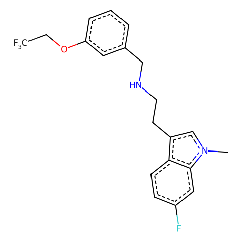 Cn1cc(CCNCc2cccc(OCC(F)(F)F)c2)c2ccc(F)cc21